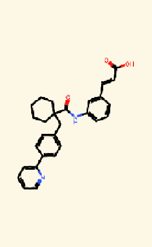 O=C(O)/C=C/c1cccc(NC(=O)C2(Cc3ccc(-c4ccccn4)cc3)CCCCC2)c1